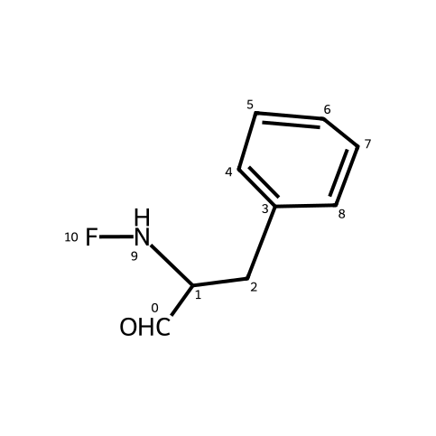 O=CC(Cc1ccccc1)NF